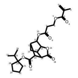 C=C(C)C(=O)OCCC(=O)OC1C2CC3C1OC(=O)C3C2C(=O)OC1(C(C)C)CCCC1